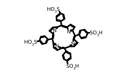 O=S(=O)(O)c1ccc(C2=C3C=CC(=N3)C(c3ccc(S(=O)(=O)O)cc3)=C3C=CC(=N3)C(c3ccc(S(=O)(=O)O)cc3)=C3C=CC(=N3)C(c3ccc(S(=O)(=O)O)cc3)=C3C=CC2=N3)cc1